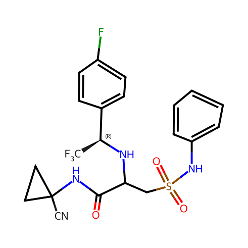 N#CC1(NC(=O)C(CS(=O)(=O)Nc2ccccc2)N[C@H](c2ccc(F)cc2)C(F)(F)F)CC1